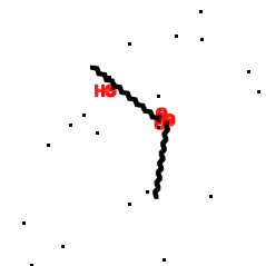 CCCCCCCCCCCCCCCC(=O)OC(=O)CCCCCCCCCCC(O)CCCCCC